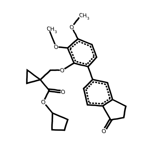 COc1ccc(-c2ccc3c(c2)CCC3=O)c(OCC2(C(=O)OC3CCC3)CC2)c1OC